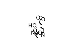 C=CC#N.C=CC(=O)OCO.C=CC(=O)[O-].[Na+]